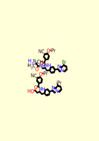 CC(C)Oc1ccc(C(=O)NC(CCO)Cc2ccc(-c3cn4cccc(C(C)C)c4n3)cc2)cc1C#N.CC(C)Oc1ccc(C(=O)NC(CNC(=O)C(C)(C)N)Cc2ccc(-c3cn4cccc(Br)c4n3)cc2)cc1C#N